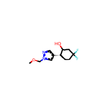 COCn1cc([C@H]2CCC(F)(F)CC2O)cn1